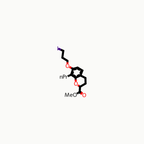 CCCc1c(OCCCI)ccc2c1OC(C(=O)OC)CC2